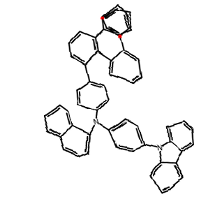 c1ccc(-c2ccccc2-c2c(-c3ccccc3)cccc2-c2ccc(N(c3ccc(-n4c5ccccc5c5ccccc54)cc3)c3cccc4ccccc34)cc2)cc1